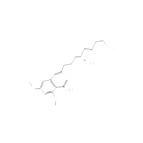 COc1cc(/C=C/CCC[C@H](O)CCC[C@H](C)O)c(C(=O)O)c(OC)c1